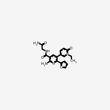 CCn1cc(-c2cc(C(=O)NCC(N)=O)c(N)nc2-c2ccco2)ccc1=O